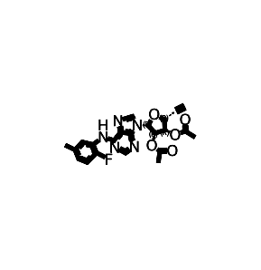 C#C[C@H]1O[C@@H](n2cnc3c(Nc4cc(C)ccc4F)ncnc32)[C@H](OC(C)=O)[C@@H]1OC(C)=O